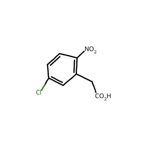 O=C(O)Cc1cc(Cl)ccc1[N+](=O)[O-]